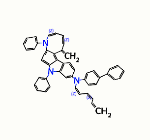 C=C/C=C\C=C/N(c1ccc(-c2ccccc2)cc1)c1ccc2c3c4c(ccc3n(-c3ccccc3)c2c1)N(c1ccccc1)/C=C\C=C/C4=C